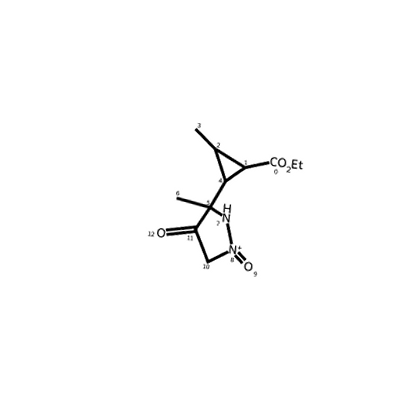 CCOC(=O)C1C(C)C1C1(C)N[N+](=O)CC1=O